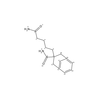 NC(=O)CCCCC1(C(N)=O)Cc2cccc(c2)C1